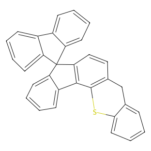 c1ccc2c(c1)Cc1ccc3c(c1S2)-c1ccccc1C31c2ccccc2-c2ccccc21